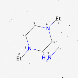 CCN1CCN(CC)CC1.CN